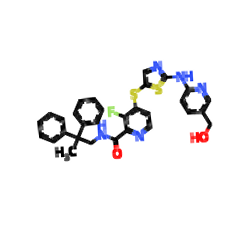 CC(CNC(=O)c1nccc(Sc2cnc(Nc3ccc(CO)cn3)s2)c1F)(c1ccccc1)c1ccccc1